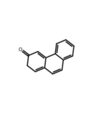 O=C1C=c2c(ccc3ccccc23)=CC1